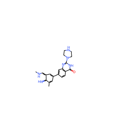 CN/C=C1/C=C(c2ccc3c(=O)[nH]c(N4CCNCC4)nc3c2)C=C(C)C1=N